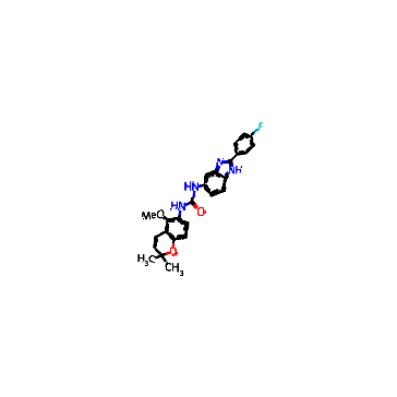 COc1c(NC(=O)Nc2ccc3[nH]c(-c4ccc(F)cc4)nc3c2)ccc2c1C=CC(C)(C)O2